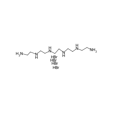 Br.Br.Br.Br.NCCNCCNCCNCCNCCN